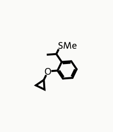 CSC(C)c1ccccc1OC1CC1